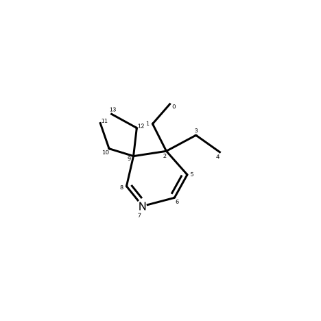 CCC1(CC)C=CN=CC1(CC)CC